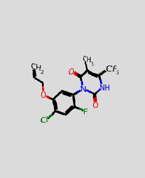 C=CCOc1cc(-n2c(=O)[nH]c(C(F)(F)F)c(C)c2=O)c(F)cc1Cl